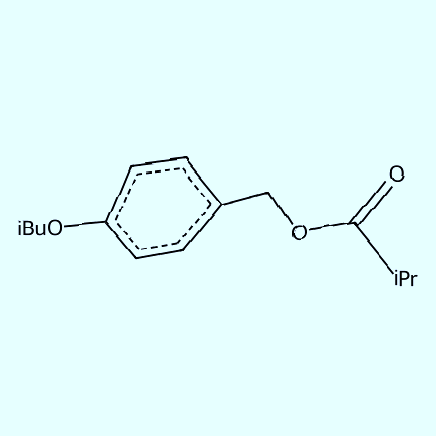 CC(C)COc1ccc(COC(=O)C(C)C)cc1